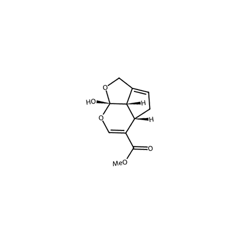 COC(=O)C1=CO[C@]2(O)OCC3=CC[C@H]1[C@@H]32